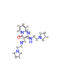 O=c1c(C=NCCN2CCCC2)c(NCCN2CCCC2)nc2ccccn12